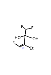 CC/C(=C/F)C(O)(O)C(F)F